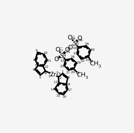 C1=C[CH]([Zr+2][CH]2C=Cc3ccccc32)c2ccccc21.Cc1ccc(S(=O)(=O)[O-])cc1.Cc1ccc(S(=O)(=O)[O-])cc1